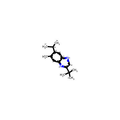 Cc1cc2nc(C(C)(C)C)cnc2cc1C(C)C